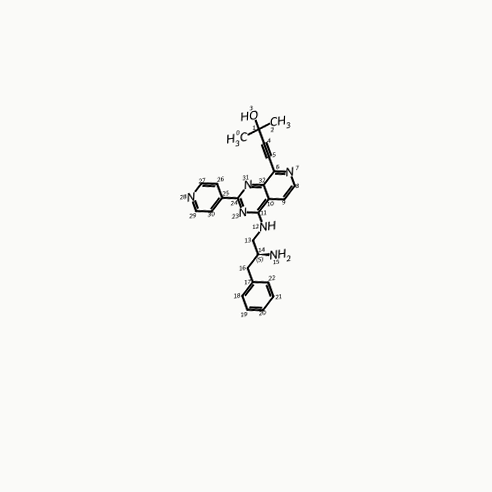 CC(C)(O)C#Cc1nccc2c(NC[C@@H](N)Cc3ccccc3)nc(-c3ccncc3)nc12